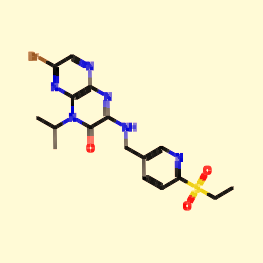 CCS(=O)(=O)c1ccc(CNc2nc3ncc(Br)nc3n(C(C)C)c2=O)cn1